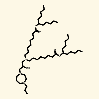 CCCCCC(CCCCC)OC(=O)CCCCCCCN(CCCCCCCC(=O)OC(CCCCC)CCCCC)CC(O)CN1CCCN(CCC)CC1